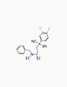 CCC(CCC(C#N)(c1ccc(F)c(F)c1)C(C)C)N(CC)Cc1ccccc1